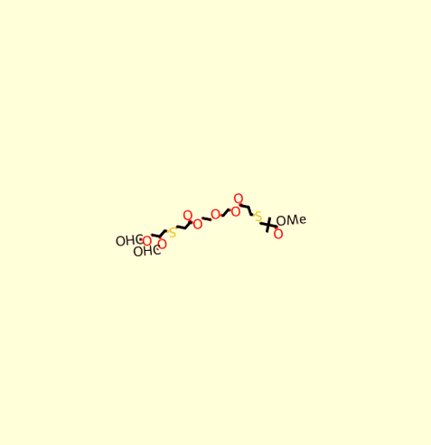 COC(=O)C(C)(C)CSCCC(=O)OCCOCCOC(=O)CCSCC(COC=O)OC=O